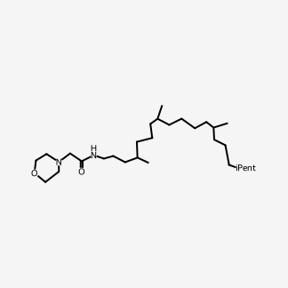 CCCC(C)CCCC(C)CCCCC(C)CCCC(C)CCCNC(=O)CN1CCOCC1